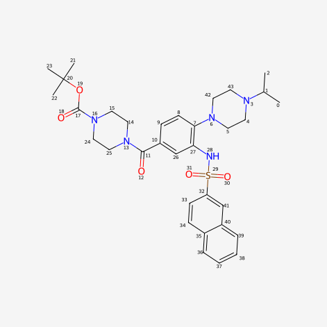 CC(C)N1CCN(c2ccc(C(=O)N3CCN(C(=O)OC(C)(C)C)CC3)cc2NS(=O)(=O)c2ccc3ccccc3c2)CC1